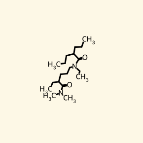 CCCC(CCC)C(=O)N(CC)CCCC(CC)C(=O)N(C)C